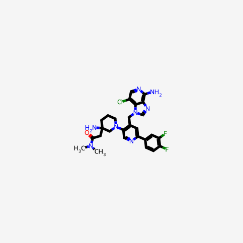 CN(C)C(=O)CC1(N)CCCN(c2cnc(-c3ccc(F)c(F)c3)cc2Cn2cnc3c(N)ncc(Cl)c32)C1